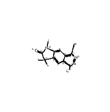 Cc1nnc(Cl)c2cc3c(cc12)N(C)C(=O)C3(C)C